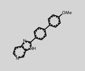 COc1ccc(-c2ccc(-c3nc4ccncc4[nH]3)cc2)cc1